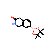 CC1(C)OB(c2ccc3c(c2)CNC(=O)C3)OC1(C)C